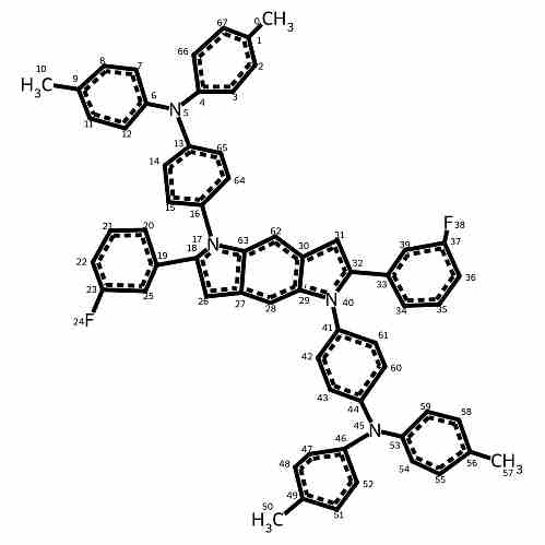 Cc1ccc(N(c2ccc(C)cc2)c2ccc(-n3c(-c4cccc(F)c4)cc4cc5c(cc(-c6cccc(F)c6)n5-c5ccc(N(c6ccc(C)cc6)c6ccc(C)cc6)cc5)cc43)cc2)cc1